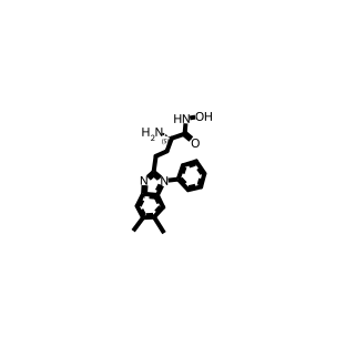 Cc1cc2nc(CC[C@H](N)C(=O)NO)n(-c3ccccc3)c2cc1C